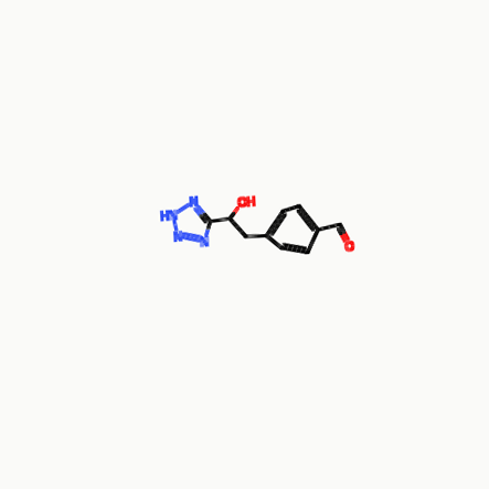 O=Cc1ccc(CC(O)c2nn[nH]n2)cc1